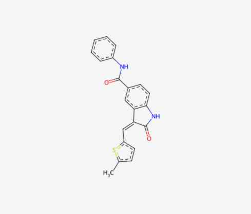 Cc1ccc(C=C2C(=O)Nc3ccc(C(=O)Nc4ccccc4)cc32)s1